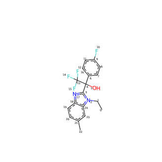 CCn1c(C(O)(c2ccc(F)cc2)C(F)(F)F)nc2ccc(C)cc21